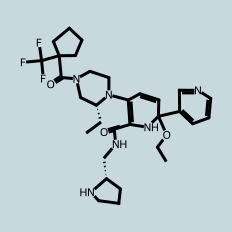 CCOC1(c2cccnc2)C=CC(N2CCN(C(=O)C3(C(F)(F)F)CCCC3)C[C@H]2CC)=C(C(=O)NC[C@@H]2CCCN2)N1